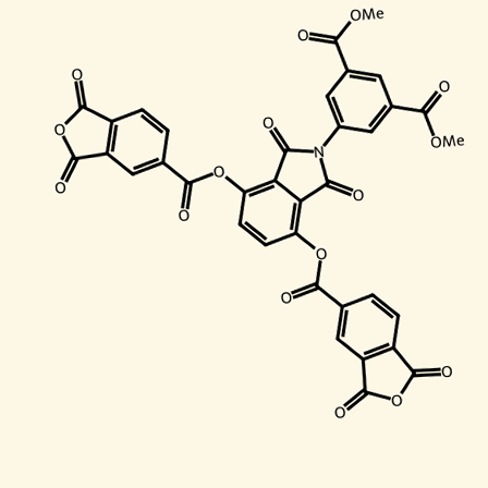 COC(=O)c1cc(C(=O)OC)cc(N2C(=O)c3c(OC(=O)c4ccc5c(c4)C(=O)OC5=O)ccc(OC(=O)c4ccc5c(c4)C(=O)OC5=O)c3C2=O)c1